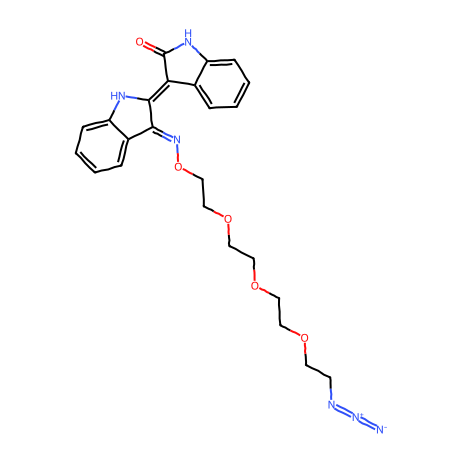 [N-]=[N+]=NCCOCCOCCOCCO/N=C1/C(=C2/C(=O)Nc3ccccc32)Nc2ccccc21